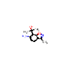 Cc1noc2c(C(C)(C)O)c(N)ccc12